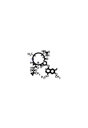 COc1cc2c(OC)cnc(O[C@@H]3C[C@H]4C(=O)N[C@]5(C(=O)NS(=O)(=O)C6(C)CC6)C[C@H]5/C=C\[C@H](C)CCC[C@@H](C)[C@H](NC(=O)O)C(=O)N4C3)c2cc1F